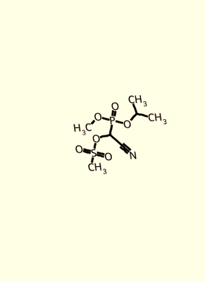 COP(=O)(OC(C)C)C(C#N)OS(C)(=O)=O